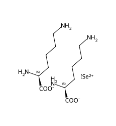 NCCCC[C@H](N)C(=O)[O-].NCCCC[C@H](N)C(=O)[O-].[Se+2]